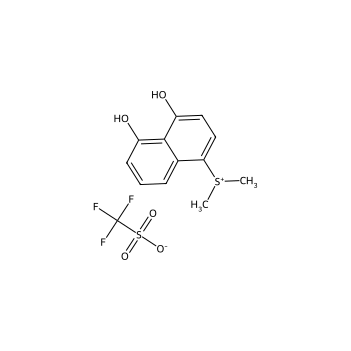 C[S+](C)c1ccc(O)c2c(O)cccc12.O=S(=O)([O-])C(F)(F)F